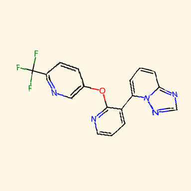 FC(F)(F)c1ccc(Oc2ncccc2-c2cccc3ncnn23)cn1